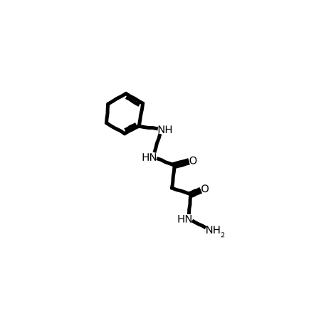 NNC(=O)CC(=O)NNC1=CCCC=C1